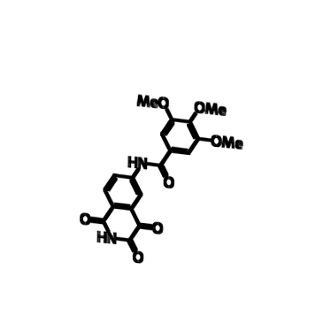 COc1cc(C(=O)Nc2ccc3c(c2)C(=O)C(=O)NC3=O)cc(OC)c1OC